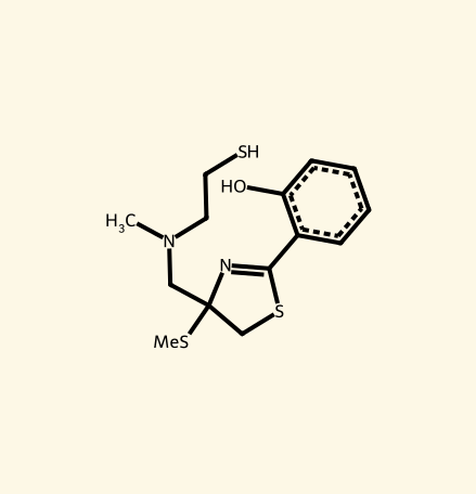 CSC1(CN(C)CCS)CSC(c2ccccc2O)=N1